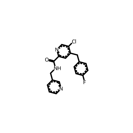 O=C(NCc1cccnc1)c1cc(Cc2ccc(F)cc2)c(Cl)cn1